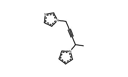 CC(C#CCn1ccnc1)n1cccc1